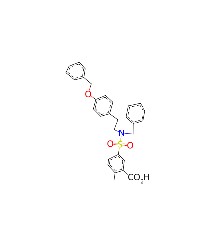 Cc1ccc(S(=O)(=O)N(CCc2ccc(OCc3ccccc3)cc2)Cc2ccccc2)cc1C(=O)O